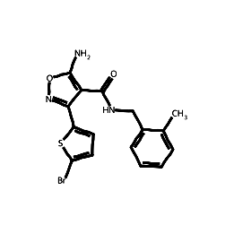 Cc1ccccc1CNC(=O)c1c(-c2ccc(Br)s2)noc1N